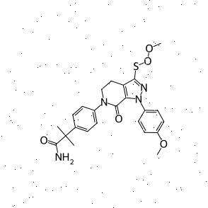 COOSc1nn(-c2ccc(OC)cc2)c2c1CCN(c1ccc(C(C)(C)C(N)=O)cc1)C2=O